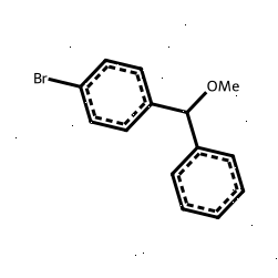 COC(c1ccccc1)c1ccc(Br)cc1